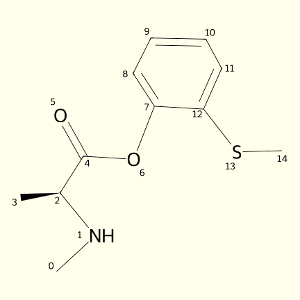 CN[C@@H](C)C(=O)Oc1ccccc1SC